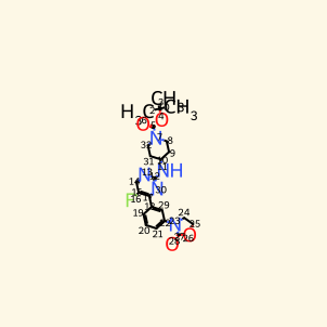 CC(C)(C)OC(=O)N1CCC(Nc2ncc(F)c(-c3cccc(N4CCOC4=O)c3)n2)CC1